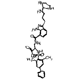 Cc1cc(-c2ccccc2)cc(C)c1S(=O)(=O)NC(CNC(=O)c1cccc2c(CCCNC3NCCN3)n[nH]c12)C(=O)O